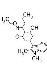 CCCC(=NOCC)C1=C(O)CC(c2c(C)n(C)c3ccccc23)CC1=O